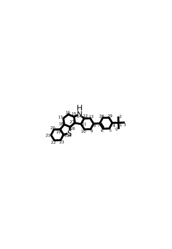 CC(C)(C)C1CC=C(C2CCC3C(C2)NC2CCC4C5CCCCC5SC4C23)CC1